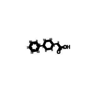 O=C(O)C[C@H]1CC[C@@H](c2ccccc2)CC1